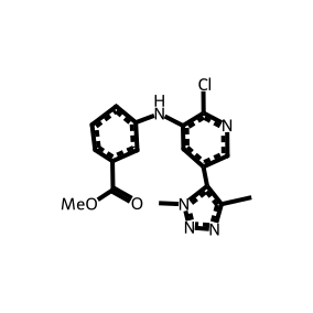 COC(=O)c1cccc(Nc2cc(-c3c(C)nnn3C)cnc2Cl)c1